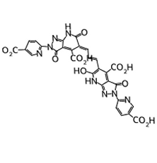 O=C(O)c1ccc(N2N=c3[nH]c(=O)c(=CC=Cc4c(O)[nH]c5nn(-c6ccc(C(=O)O)cn6)c(=O)c-5c4C(=O)O)c(C(=O)O)c3C2=O)nc1